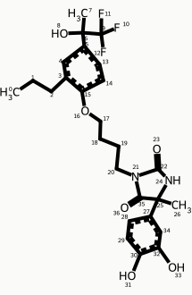 CCCc1cc(C(C)(O)C(F)(F)F)ccc1OCCCCN1C(=O)NC(C)(c2ccc(O)c(O)c2)C1=O